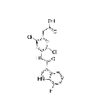 O=C(O)Cc1cc(Cl)c(NC(=O)c2c[nH]c3c(F)cccc23)cc1Cl